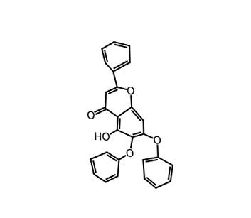 O=c1cc(-c2ccccc2)oc2cc(Oc3ccccc3)c(Oc3ccccc3)c(O)c12